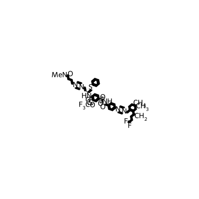 C=C(CCC(F)F)C1=C(CN2CCN(c3ccc(C(=O)NS(=O)(=O)c4ccc(N[C@H](CCN5CCN(CCCC(=O)NC)CC5)CSc5ccccc5)c(S(=O)(=O)C(F)(F)F)c4)cc3)CC2)CCC(C)(C)C1